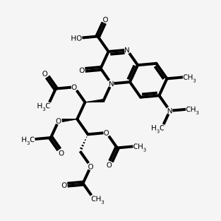 CC(=O)OC[C@@H](OC(C)=O)[C@@H](OC(C)=O)[C@H](Cn1c(=O)c(C(=O)O)nc2cc(C)c(N(C)C)cc21)OC(C)=O